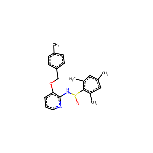 Cc1ccc(COc2cccnc2N[S+]([O-])c2c(C)cc(C)cc2C)cc1